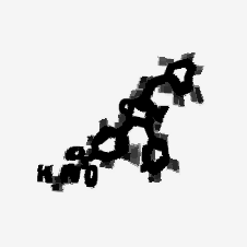 NS(=O)(=O)c1ccc(-c2oc(Cc3ccccc3)nc2-c2cccs2)cc1